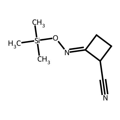 C[Si](C)(C)ON=C1CCC1C#N